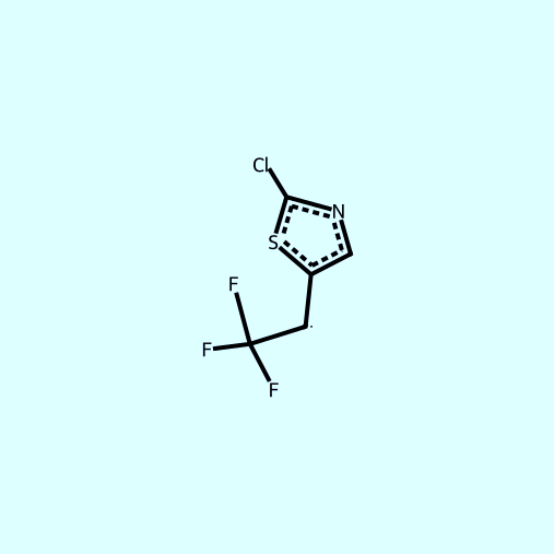 FC(F)(F)[CH]c1cnc(Cl)s1